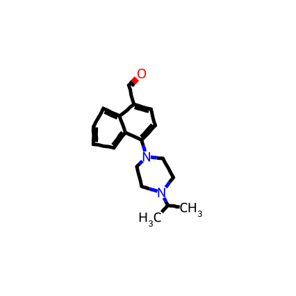 CC(C)N1CCN(c2ccc(C=O)c3ccccc23)CC1